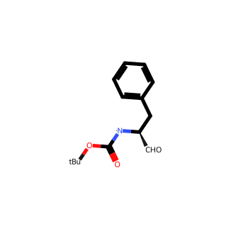 CC(C)(C)OC(=O)[N][C@H](C=O)Cc1ccccc1